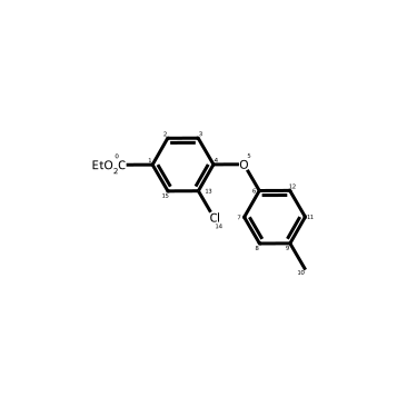 CCOC(=O)c1ccc(Oc2ccc(C)cc2)c(Cl)c1